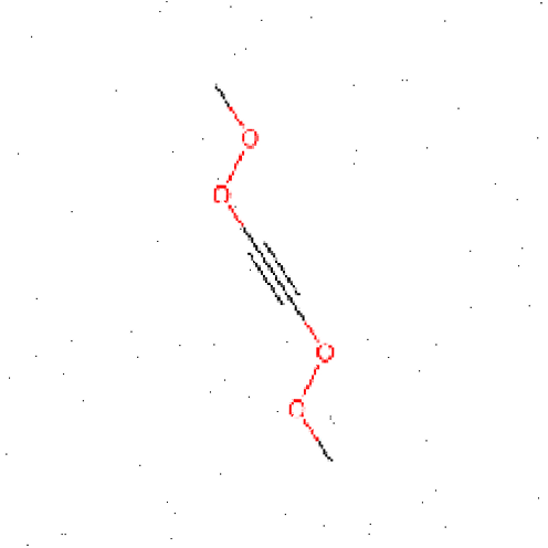 COOC#COOC